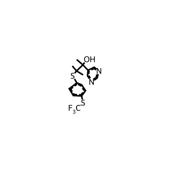 CC(C)(Sc1ccc(SC(F)(F)F)cc1)C(C)(O)c1cncnc1